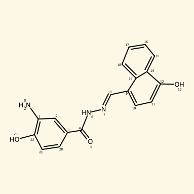 Nc1cc(C(=O)N/N=C/c2ccc(O)c3ccccc23)ccc1O